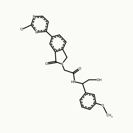 COc1cccc(C(CO)NC(=O)CN2Cc3ccc(-c4ccnc(Cl)n4)cc3C2=O)c1